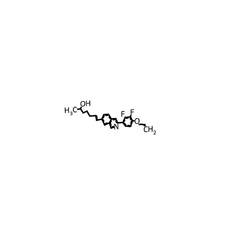 C=CCOc1ccc(-c2cc3ccc(C=CCCCC(C)O)cc3cn2)c(F)c1F